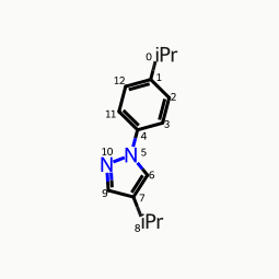 CC(C)c1ccc(-n2cc(C(C)C)cn2)cc1